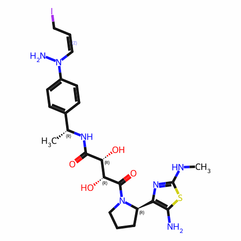 CNc1nc([C@H]2CCCN2C(=O)[C@H](O)[C@@H](O)C(=O)N[C@H](C)c2ccc(N(N)/C=C\CI)cc2)c(N)s1